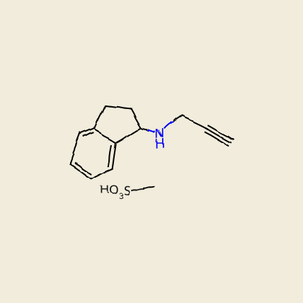 C#CCNC1CCc2ccccc21.CS(=O)(=O)O